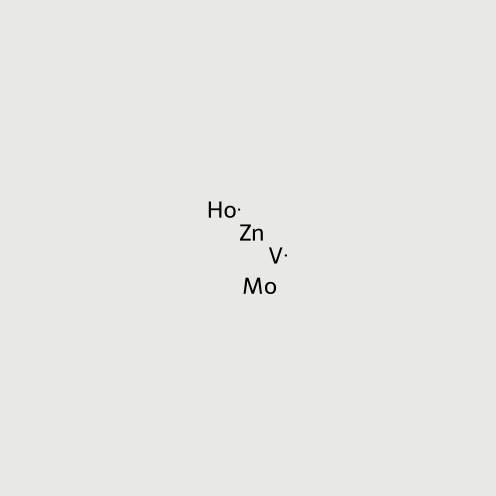 [Ho].[Mo].[V].[Zn]